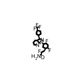 NC(=O)C(F)=Cc1cc(-n2nc(-c3ccc(C(F)(F)F)cc3)c3cccnc32)c(F)cc1F